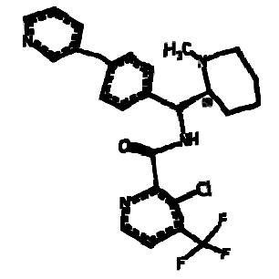 CN1CCCC[C@H]1C(NC(=O)c1nccc(C(F)(F)F)c1Cl)c1ccc(-c2cccnc2)cc1